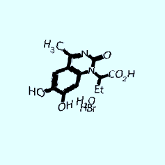 Br.CCC(C(=O)O)n1c(=O)nc(C)c2cc(O)c(O)cc21.O